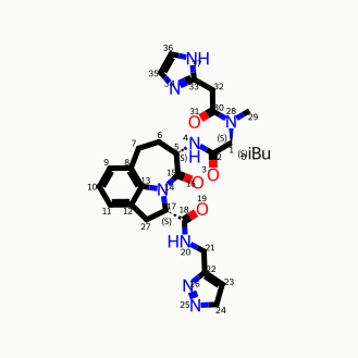 CC[C@H](C)[C@@H](C(=O)N[C@H]1CCc2cccc3c2N(C1=O)[C@H](C(=O)NCC1=CCN=N1)C3)N(C)C(=O)Cc1ncc[nH]1